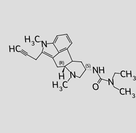 C#CCc1c2c3c(cccc3n1C)C1C[C@H](NC(=O)N(CC)CC)CN(C)[C@@H]1C2